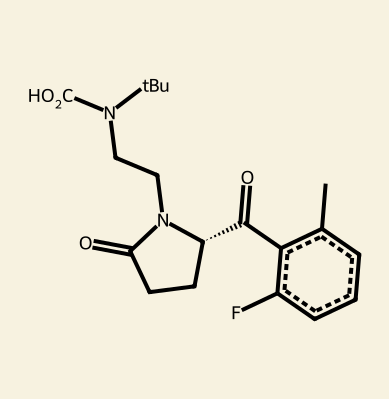 Cc1cccc(F)c1C(=O)[C@@H]1CCC(=O)N1CCN(C(=O)O)C(C)(C)C